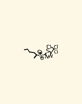 CCCCC(C)S(=O)(=O)c1nnc(C(Cl)(Cl)Cl)s1